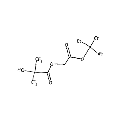 CCCC(CC)(CC)OC(=O)COC(=O)C(O)(C(F)(F)F)C(F)(F)F